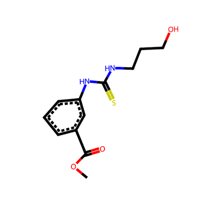 COC(=O)c1cccc(NC(=S)NCCCO)c1